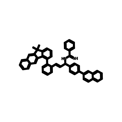 CC1(C)c2cc3ccccc3cc2-c2c(-c3ccccc3/C=C/C(NC(=N)c3ccccc3)c3ccc(-c4ccc5ccccc5c4)cc3)cccc21